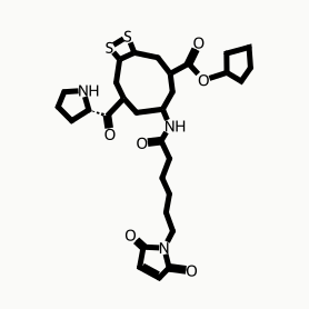 O=C(CCCCCN1C(=O)C=CC1=O)NC1CC(C(=O)OC2CCCC2)CC2SSC2CC(C(=O)[C@@H]2CCCN2)C1